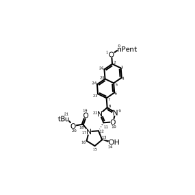 CCCCCOc1ccc2cc(-c3noc([C@@H]4[C@@H](O)CCN4C(=O)OC(C)(C)C)n3)ccc2c1